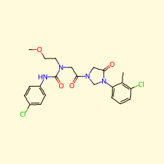 COCCN(CC(=O)N1CC(=O)N(c2cccc(Cl)c2C)C1)C(=O)Nc1ccc(Cl)cc1